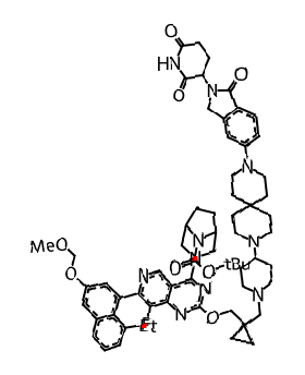 CCc1cccc2cc(OCOC)cc(-c3ncc4c(N5CC6CCC(C5)N6C(=O)OC(C)(C)C)nc(OCC5(CN6CCC(N7CCC8(CCN(c9ccc%10c(c9)CN(C9CCC(=O)NC9=O)C%10=O)CC8)CC7)CC6)CC5)nc4c3F)c12